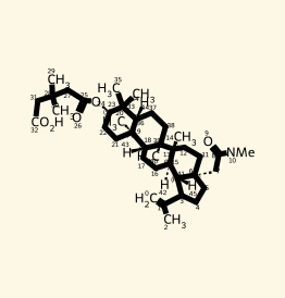 C=C(C)C1CC[C@]2(CC(=O)NC)CC[C@]3(C)[C@H](CC[C@@H]4[C@@]5(C)CC[C@H](OC(=O)CC(C)(C)CC(=O)O)C(C)(C)[C@@H]5CC[C@]43C)[C@@H]12